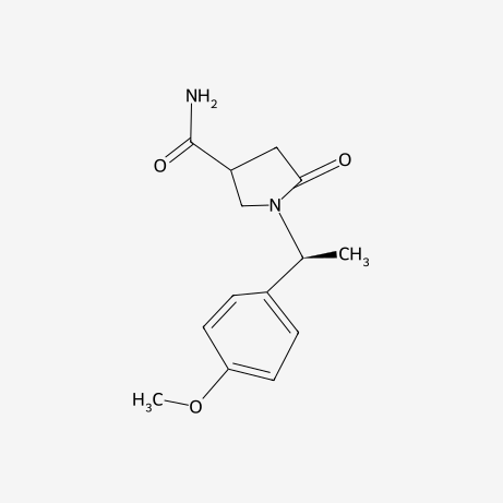 COc1ccc([C@H](C)N2CC(C(N)=O)CC2=O)cc1